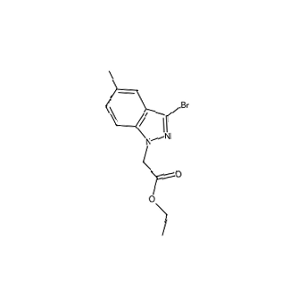 CCOC(=O)Cn1nc(Br)c2cc(C)ccc21